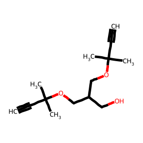 C#CC(C)(C)OCC(CO)COC(C)(C)C#C